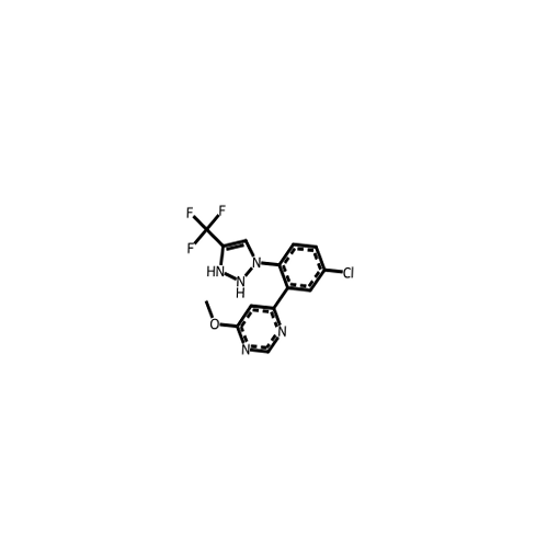 COc1cc(-c2cc(Cl)ccc2N2C=C(C(F)(F)F)NN2)ncn1